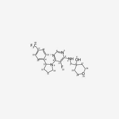 OC1(CNc2ncnc(N3CCCC3c3ccc(C(F)(F)F)cc3)c2F)CCOCC1